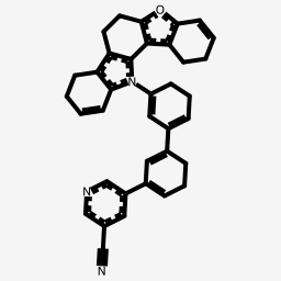 N#Cc1cncc(C2=CCCC(C3=CCCC(n4c5c(c6c4-c4c(oc7c4CCC=C7)CC6)CCC=C5)=C3)=C2)c1